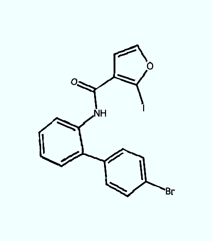 O=C(Nc1ccccc1-c1ccc(Br)cc1)c1ccoc1I